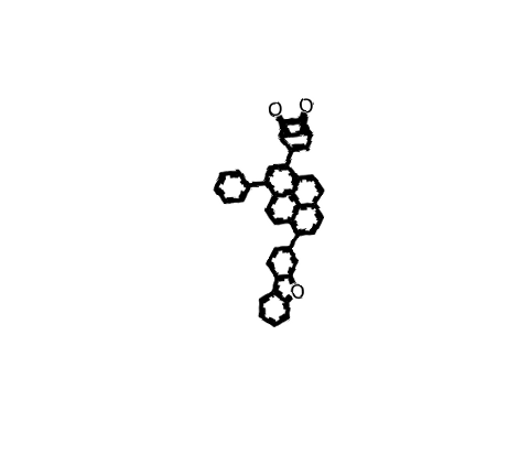 O=C1C(=O)C2C=CC1C=C2c1cc(-c2ccccc2)c2ccc3c(-c4ccc5c(c4)oc4ccccc45)ccc4ccc1c2c43